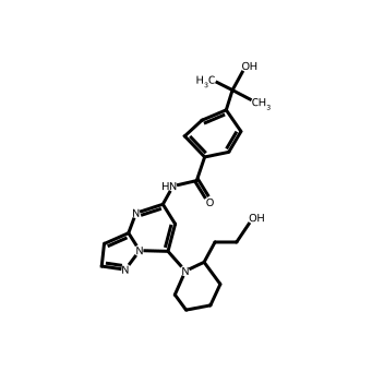 CC(C)(O)c1ccc(C(=O)Nc2cc(N3CCCCC3CCO)n3nccc3n2)cc1